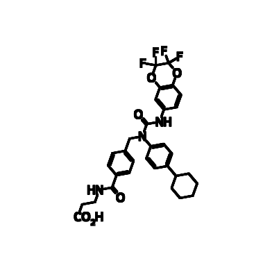 O=C(O)CCNC(=O)c1ccc(CN(C(=O)Nc2ccc3c(c2)OC(F)(F)C(F)(F)O3)c2ccc(C3CCCCC3)cc2)cc1